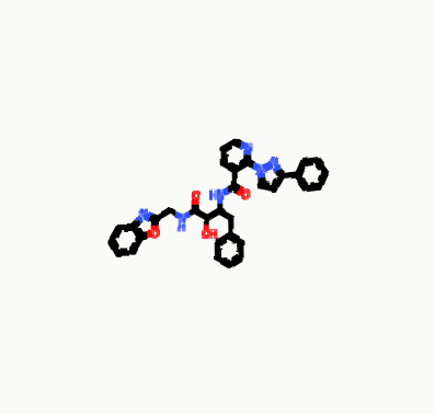 O=C(NC(Cc1ccccc1)C(O)C(=O)NCc1nc2ccccc2o1)c1cccnc1-n1ccc(-c2ccccc2)n1